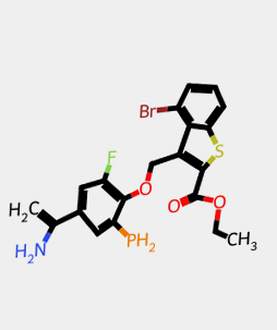 C=C(N)c1cc(F)c(OCc2c(C(=O)OCC)sc3cccc(Br)c23)c(P)c1